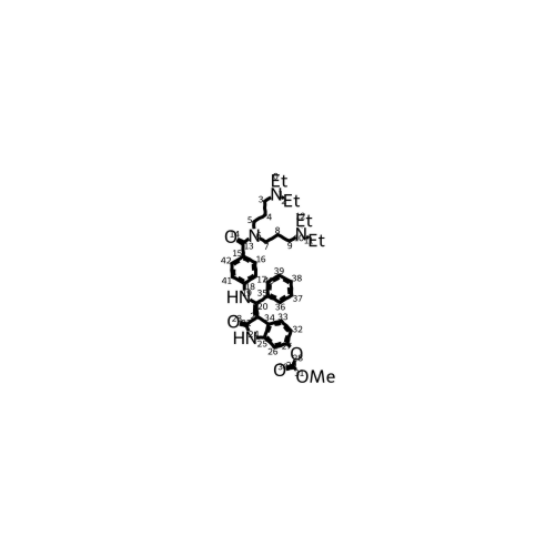 CCN(CC)CCCN(CCCN(CC)CC)C(=O)c1ccc(N/C(=C2\C(=O)Nc3cc(OC(=O)OC)ccc32)c2ccccc2)cc1